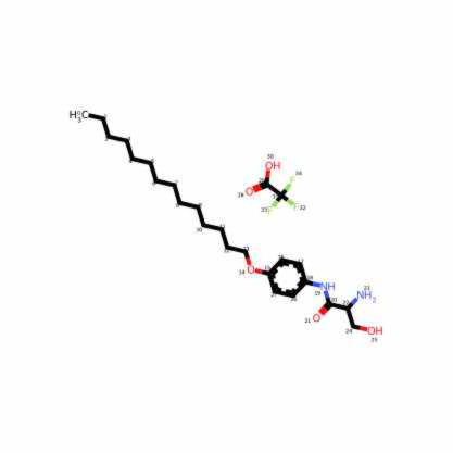 CCCCCCCCCCCCCCOc1ccc(NC(=O)C(N)CO)cc1.O=C(O)C(F)(F)F